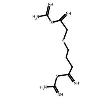 N=C(N)SC(=N)CCCSCC(=N)SC(=N)N